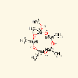 CCCO[Si]1(C)O[SiH](C)O[SiH](C)O[SiH](C)O[SiH](C)O1